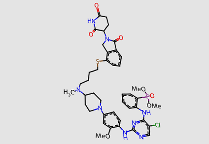 COc1cc(N2CCC(N(C)CCCCSc3cccc4c3CN(C3CCC(=O)NC3=O)C4=O)CC2)ccc1Nc1ncc(Cl)c(Nc2ccccc2P(=O)(OC)OC)n1